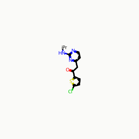 CC(C)Nc1nccc(CC(=O)c2ccc(Cl)s2)n1